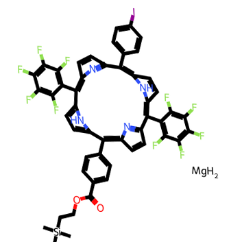 C[Si](C)(C)CCOC(=O)c1ccc(-c2c3nc(c(-c4c(F)c(F)c(F)c(F)c4F)c4ccc([nH]4)c(-c4ccc(I)cc4)c4nc(c(-c5c(F)c(F)c(F)c(F)c5F)c5ccc2[nH]5)C=C4)C=C3)cc1.[MgH2]